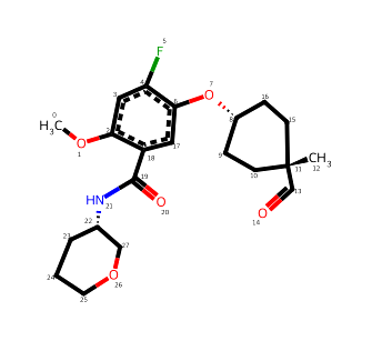 COc1cc(F)c(O[C@H]2CC[C@@](C)(C=O)CC2)cc1C(=O)N[C@H]1CCCOC1